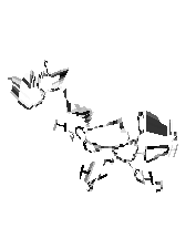 Cc1c(C)c2c(c(C)c1O)CCC(C)(C#Cc1csc3ccccc13)O2